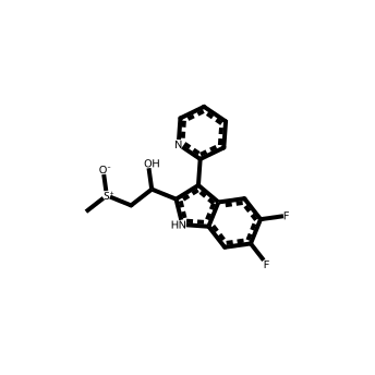 C[S+]([O-])CC(O)c1[nH]c2cc(F)c(F)cc2c1-c1ccccn1